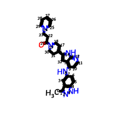 Cc1n[nH]c2ccc(Nc3ccnc4[nH]c(C5=CCN(C(=O)CCN6C=C=CC=C6)CC5)cc34)cc12